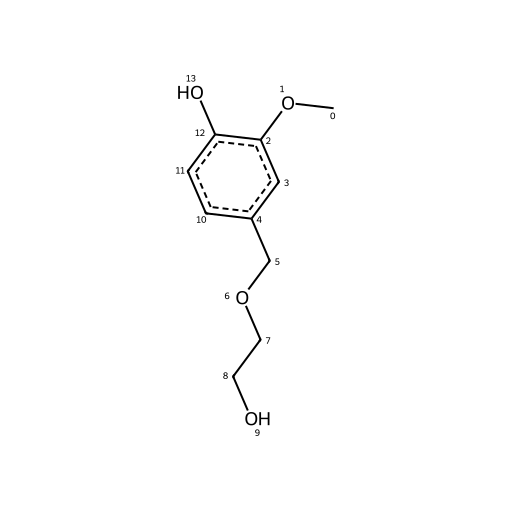 COc1cc(COCCO)ccc1O